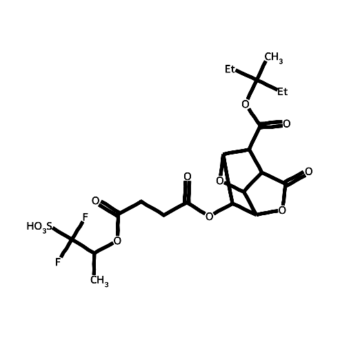 CCC(C)(CC)OC(=O)C1C2OC3C(OC(=O)C31)C2OC(=O)CCC(=O)OC(C)C(F)(F)S(=O)(=O)O